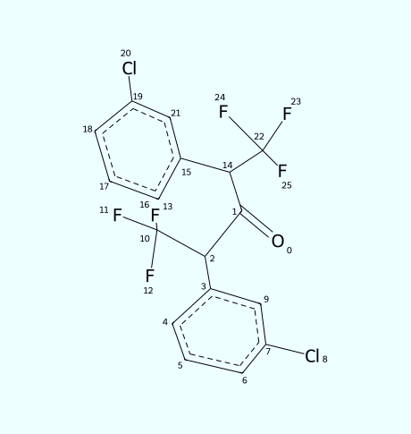 O=C(C(c1cccc(Cl)c1)C(F)(F)F)C(c1cccc(Cl)c1)C(F)(F)F